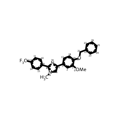 COc1cc(-c2cn(C)c(-c3ccc(C(F)(F)F)cc3)n2)ccc1OCc1ccccc1